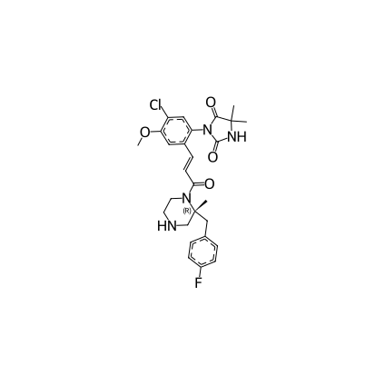 COc1cc(C=CC(=O)N2CCNC[C@@]2(C)Cc2ccc(F)cc2)c(N2C(=O)NC(C)(C)C2=O)cc1Cl